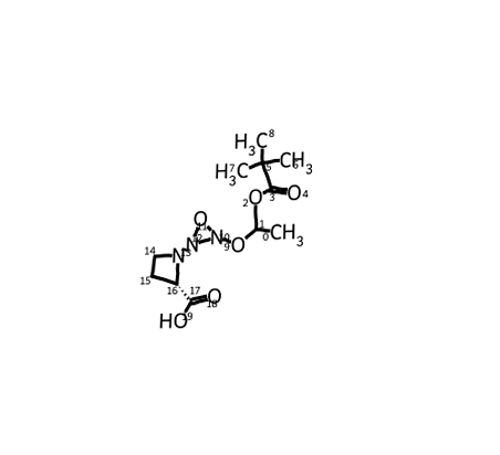 CC(OC(=O)C(C)(C)C)On1on1N1CC[C@H]1C(=O)O